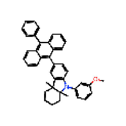 COc1cccc(N2c3ccc(-c4c5ccccc5c(-c5ccccc5)c5ccccc45)cc3C3(C)CCCCC23C)c1